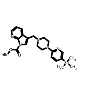 CCCCOC(=O)n1cc(CN2CCN(c3cc[c]([Sn]([CH3])([CH3])[CH3])cn3)CC2)c2cccnc21